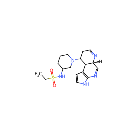 O=S(=O)(CC(F)(F)F)NC1CCCN([C@@H]2CC=N[C@@H]3C=Nc4[nH]ccc4C23)C1